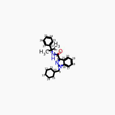 CC(C)(NC(=O)c1nn(CC2CCCCC2)c2ccccc12)c1ccccc1